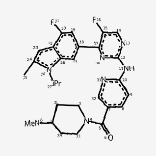 CNC1CCN(C(=O)c2ccc(Nc3ncc(F)c(-c4cc(F)c5cc(C)n(C(C)C)c5c4)n3)nc2)CC1